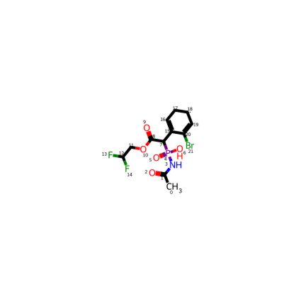 CC(=O)NP(=O)(O)C(C(=O)OCC(F)F)C1=CC[CH]C=C1Br